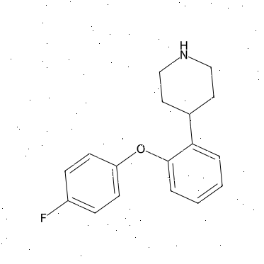 Fc1ccc(Oc2ccccc2C2CCNCC2)cc1